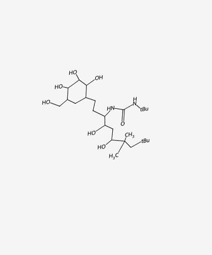 CC(C)(C)CC(C)(C)C(O)CC(O)C(CCC1CC(CO)C(O)C(O)C1O)NC(=O)NC(C)(C)C